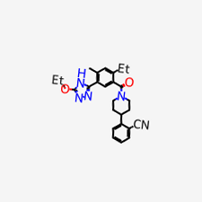 CCOc1nnc(-c2cc(C(=O)N3CCC(c4ccccc4C#N)CC3)c(CC)cc2C)[nH]1